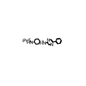 CC(C)SN[C@H]1CC[C@H](CNc2cnc(-c3ccccc3)cn2)CC1